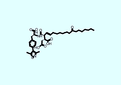 CCCCCCCC(=O)CCCCCC/C=C/[C@H](C(=O)N[C@@H](Cc1ccc(-c2c(C)noc2C)cc1)C(=O)O)[C@@H](CC(=O)O)C(=O)O